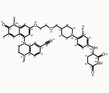 Cc1cc2c(N3CCN(C)c4ccc(C#N)cc43)cc(OCCOCC3CCN(c4ccc(NC5CCC(=O)NC5=O)cc4F)CC3)cc2n(C)c1=O